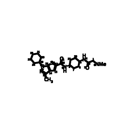 CNCC(=O)N[C@H]1CC[C@H](NC(=O)c2cc3c(C)nn(C4CCCCC4)c3s2)CC1